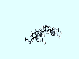 Cc1ccc2cc(SCc3cc(N(C)C)ccn3)[nH]c2c1C